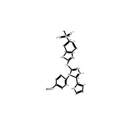 COc1ccc(-n2c(Sc3nc4ccc(S(C)(=O)=O)cc4s3)nnc2-c2cccs2)cc1